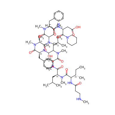 CC[C@H](C)C(NC(=O)CCNC)C(=O)N(C)[C@@H](CC(C)C)C(=O)N(C)C(C)C(=O)N(C)C(CC(C)C)C(O)N(C)[C@@H](Cc1ccccc1)C(=O)N(C)[C@@H](C)C(=O)N(C)C(CC(C)C)C(=O)N(C)C(Cc1ccccc1)C(=O)NC(CC(=O)O)C(=O)N1CCCCC1